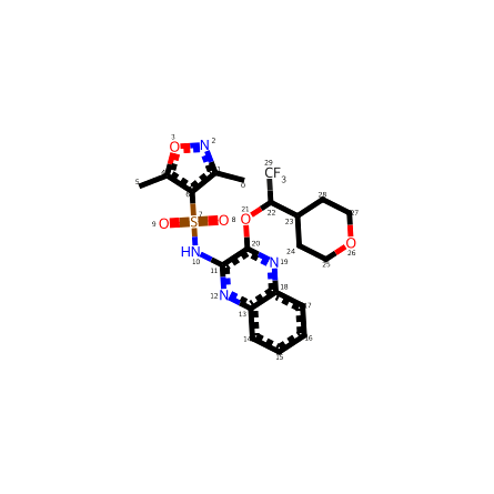 Cc1noc(C)c1S(=O)(=O)Nc1nc2ccccc2nc1OC(C1CCOCC1)C(F)(F)F